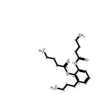 CCCCC(=O)Oc1cccc(CCCC)c1OC(=O)CCCC